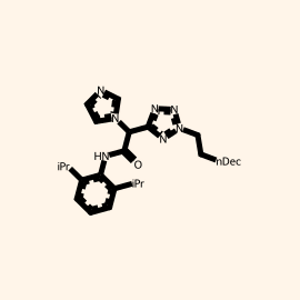 CCCCCCCCCCCCn1nnc(C(C(=O)Nc2c(C(C)C)cccc2C(C)C)n2ccnc2)n1